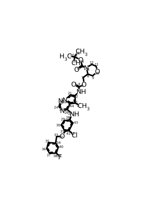 Cc1c(NC(=O)OCC2COCCN2C(=O)OC(C)(C)C)cn2ncnc(Nc3ccc(OCc4cccc(F)c4)c(Cl)c3)c12